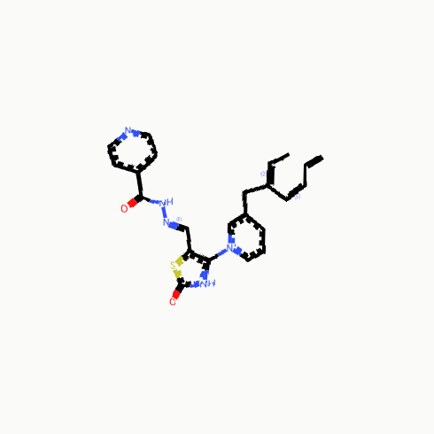 C=C/C=C\C(=C/C)Cc1ccc[n+](-c2[nH]c(=O)sc2/C=N/NC(=O)c2ccncc2)c1